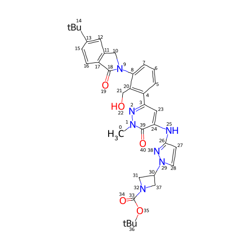 Cn1nc(-c2cccc(N3Cc4cc(C(C)(C)C)ccc4C3=O)c2CO)cc(Nc2ccn(C3CN(C(=O)OC(C)(C)C)C3)n2)c1=O